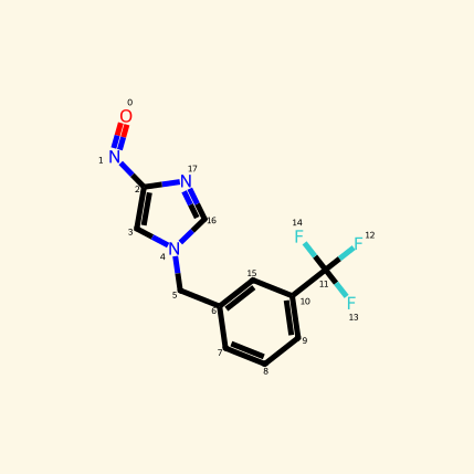 O=Nc1cn(Cc2cccc(C(F)(F)F)c2)cn1